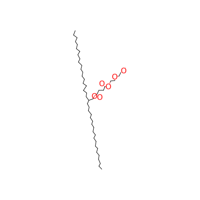 CCCCCCCCCCCCCCCCCCCCC(CCCCCCCCCCCCCCCCCCCC)COC(=O)CCC(=O)OCCOCCOC